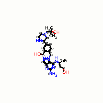 CCC[C@@H](CCO)Nc1nc(N)nc2cnn(Cc3ccc(C4CN(CC(C)(C)O)CCN4)cc3CO)c12